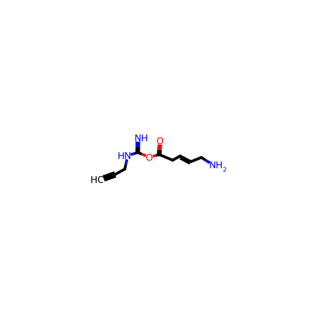 C#CCNC(=N)OC(=O)CC=CCN